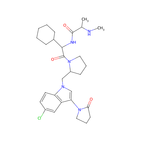 CNC(C)C(=O)NC(C(=O)N1CCCC1Cn1cc(N2CCCC2=O)c2cc(Cl)ccc21)C1CCCCC1